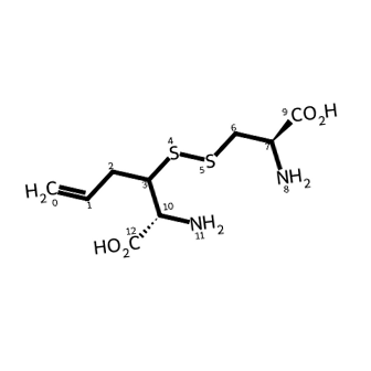 C=CCC(SSC[C@H](N)C(=O)O)[C@H](N)C(=O)O